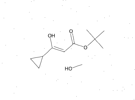 CC(C)(C)OC(=O)C=C(O)C1CC1.CO